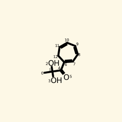 CC(O)(O)C(=O)C1=CC=CC=CC1